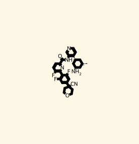 C[C@@H]1C[C@H](N)C[C@H](c2ccncc2NC(=O)c2ccc(F)c(-c3c(F)cc(C4(C#N)CCOCC4)cc3F)n2)C1